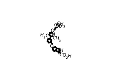 Cc1cc(OCCCS(C)(=O)=O)nc(C)c1-c1cccc(COc2ccc3c(c2)C[C@@H]2C3[C@H]2C(=O)O)c1